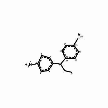 CCC(c1ccc(N)cc1)c1ccc(O)cc1